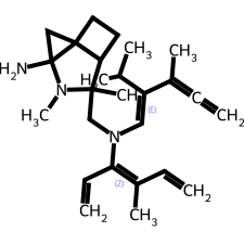 C=C=C(C)/C(=C/N(CC1(C)C2CCC23CC3(N)N1C)/C(C=C)=C(/C)C=C)C(C)C